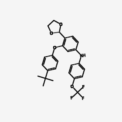 CC(C)(C)c1ccc(Oc2cc(Nc3ccc(OC(F)(F)F)cc3)ccc2C2OCCO2)cc1